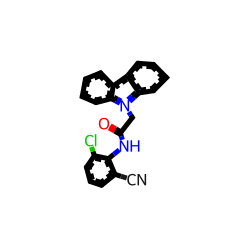 N#Cc1cccc(Cl)c1NC(=O)Cn1c2ccccc2c2ccccc21